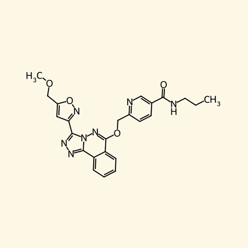 CCCNC(=O)c1ccc(COc2nn3c(-c4cc(COC)on4)nnc3c3ccccc23)nc1